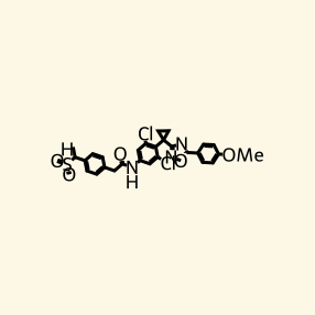 COc1ccc(-c2nc(C3(c4c(Cl)cc(NC(=O)Cc5ccc(C(C)[SH](=O)=O)cc5)cc4Cl)CC3)no2)cc1